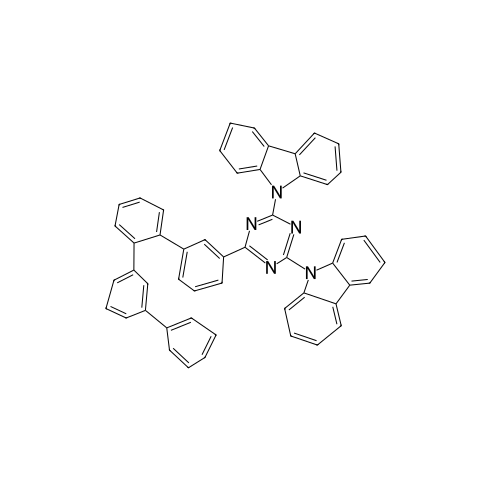 c1ccc(-c2cccc(-c3ccccc3-c3cccc(-c4nc(-n5c6ccccc6c6ccccc65)nc(-n5c6ccccc6c6ccccc65)n4)c3)c2)cc1